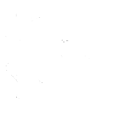 O=C(Nc1ccc(F)c(C(=O)c2ccc3nccnc3c2)c1)c1ccc(Cl)cc1